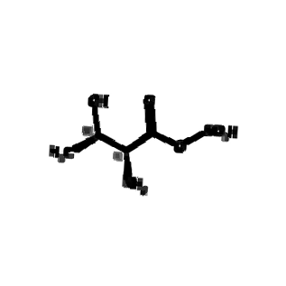 C[C@@H](O)[C@H](N)C(=O)OS(=O)(=O)O